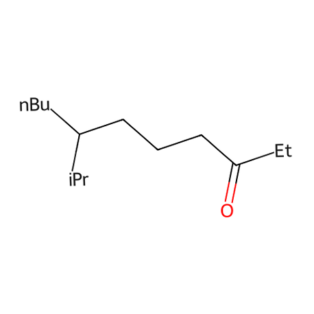 CCCCC(CCCC(=O)CC)C(C)C